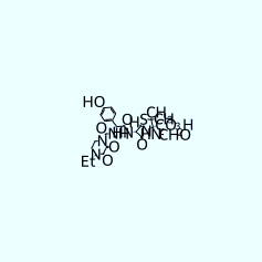 CCN1CCN(C(=O)NC(C(=O)N[C@H]2C(=O)N3[C@@H]2SC(C)(C)[C@]3(NC=O)C(=O)O)c2ccc(O)cc2)C(=O)C1=O